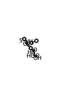 CSc1cccc(NC(=O)N(Cc2ccc(C(=O)NCC(O)C(=O)O)cc2)c2ccc(C3CCCCC3)cc2)c1